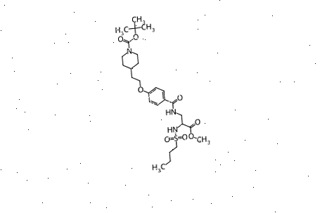 CCCCS(=O)(=O)NC(CNC(=O)c1ccc(OCCC2CCN(C(=O)OC(C)(C)C)CC2)cc1)C(=O)OC